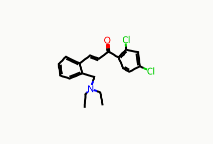 CCN(CC)Cc1ccccc1C=CC(=O)c1ccc(Cl)cc1Cl